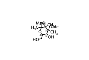 CO[C@@]1(C)[C@@H](O)[C@@H](CO)OC(C)(O)[C@]1(C)OC